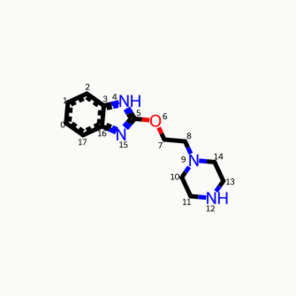 c1ccc2[nH]c(OCCN3CCNCC3)nc2c1